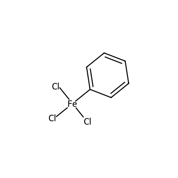 [Cl][Fe]([Cl])([Cl])[c]1ccccc1